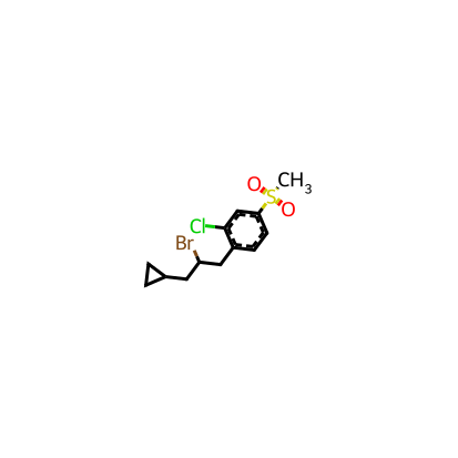 CS(=O)(=O)c1ccc(CC(Br)CC2CC2)c(Cl)c1